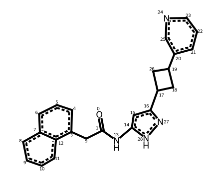 O=C(Cc1cccc2ccccc12)Nc1cc(C2CC(c3cccnc3)C2)n[nH]1